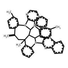 C=C1CC2(C)c3ccccc3N3c4nc5ccccc5nc4N(c4ccccc4)C3C2C2N(c3cccc(C)c3)c3nccnc3N2c2cc(C)ccc21